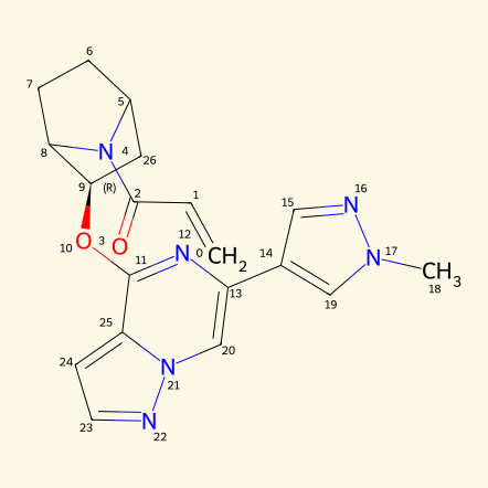 C=CC(=O)N1C2CCC1[C@H](Oc1nc(-c3cnn(C)c3)cn3nccc13)C2